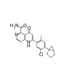 Cc1cc(C23CCCC2C3)c(Cl)cc1-c1cc(=O)c2c(C(N)=O)nccc2[nH]1